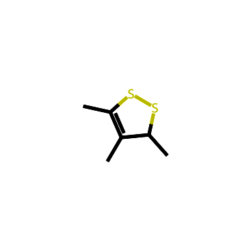 CC1=C(C)C(C)SS1